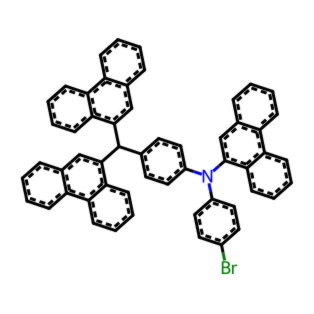 Brc1ccc(N(c2ccc(C(c3cc4ccccc4c4ccccc34)c3cc4ccccc4c4ccccc34)cc2)c2cc3ccccc3c3ccccc23)cc1